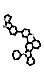 c1ccc(-n2c3ccccc3c3c4cccc5c4c(cc32)-c2cc(-c3ccc4[nH]c6ccccc6c4c3)ccc2O5)cc1